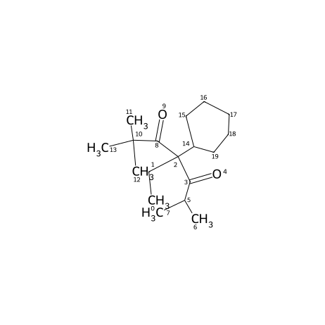 CCC(C(=O)C(C)C)(C(=O)C(C)(C)C)C1CCCCC1